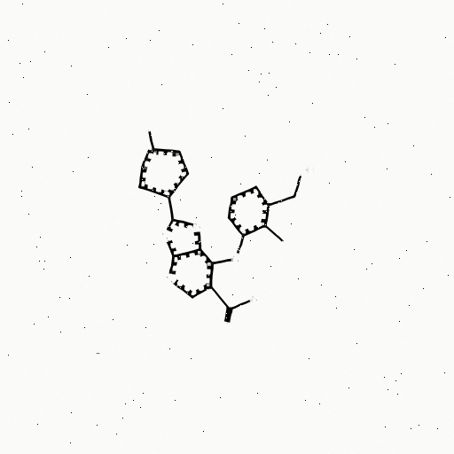 CCc1c(CO)cccc1Nc1c(C(N)=O)cnc2[nH]c(-c3ccc(O)cc3)nc12